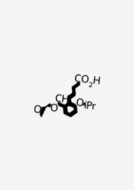 CC(C)Oc1cccc([C@@H](C)OC[C@H]2CO2)c1/C=C/CCC(=O)O